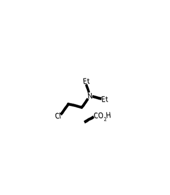 CC(=O)O.CCN(CC)CCCl